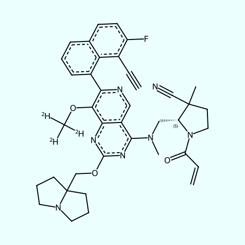 [2H]C([2H])([2H])Oc1c(-c2cccc3ccc(F)c(C#C)c23)ncc2c(N(C)C[C@H]3N(C(=O)C=C)CCC3(C)C#N)nc(OCC34CCCN3CCC4)nc12